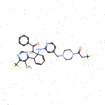 Cc1c(C2C=CC=CC2(Nc2cc(CN3CCN(C(=O)CC(F)(F)F)CC3)ccn2)C(=O)C(=O)c2ccccc2)ncnc1C(F)(F)F